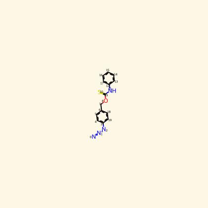 [N-]=[N+]=Nc1ccc(COC(=S)Nc2ccccc2)cc1